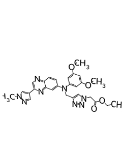 CCOC(=O)Cn1cc(CN(c2cc(OC)cc(OC)c2)c2ccc3ncc(-c4cnn(C)c4)nc3c2)nn1